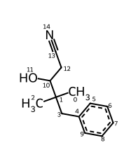 CC(C)(Cc1ccccc1)C(O)CC#N